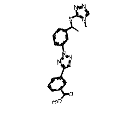 CC(Sc1nncn1C)c1cccc(-n2ncc(-c3cccc(C(=O)O)c3)n2)c1